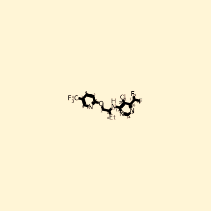 CCC(COc1ccc(C(F)(F)F)cn1)Nc1ncnc(C(F)F)c1Cl